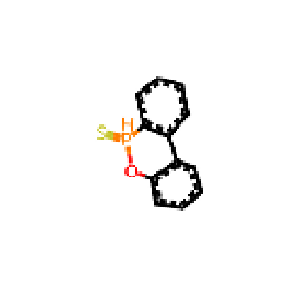 S=[PH]1Oc2ccccc2-c2ccccc21